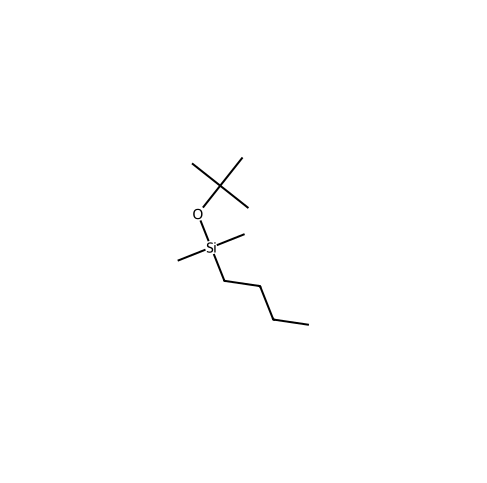 CCCC[Si](C)(C)OC(C)(C)C